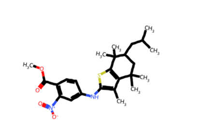 COC(=O)c1ccc(Nc2sc3c(c2C)C(C)(C)CC(CC(C)C)C3(C)C)cc1[N+](=O)[O-]